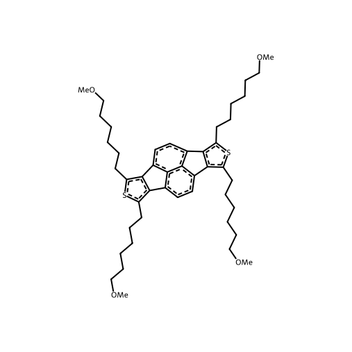 COCCCCCCc1sc(CCCCCCOC)c2c1-c1ccc3c4c(ccc-2c14)-c1c(CCCCCCOC)sc(CCCCCCOC)c1-3